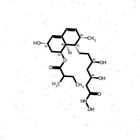 CCC(C)C(=O)O[C@H]1C[C@H](O)C=C2C=C[C@H](C)[C@H](CC[C@@H](O)C[C@@H](O)CC(=O)NO)[C@H]21